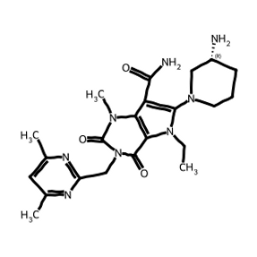 CCn1c(N2CCC[C@@H](N)C2)c(C(N)=O)c2c1c(=O)n(Cc1nc(C)cc(C)n1)c(=O)n2C